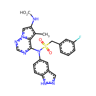 Cc1c(NC(=O)O)cn2ncnc(N(c3ccc4[nH]ncc4c3)S(=O)(=O)Cc3cccc(F)c3)c12